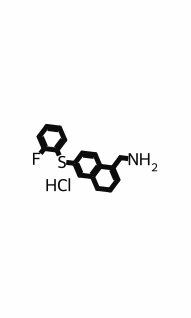 Cl.NCC1=CCCc2cc(Sc3ccccc3F)ccc21